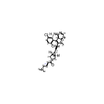 COc1ccc(Cl)cc1-c1c(C#CC2[C@H]3CN(C(=O)/C=C/CN(C)C)C[C@@H]23)n(C)c2ncnc(N)c12